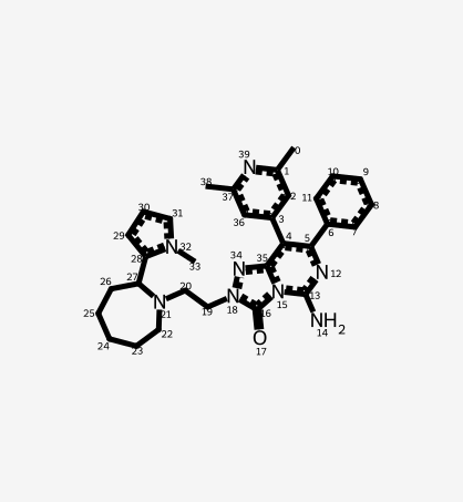 Cc1cc(-c2c(-c3ccccc3)nc(N)n3c(=O)n(CCN4CCCCCC4c4cccn4C)nc23)cc(C)n1